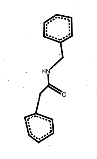 O=C(Cc1cc[c]cc1)NCc1ccccc1